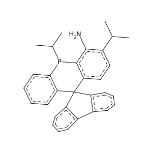 CC(C)c1ccc2c(c1N)P(C(C)C)c1ccccc1C21c2ccccc2-c2ccccc21